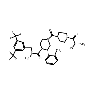 Cc1ccccc1[C@H]1CN(C(=O)C2CCN(C(=O)[C@H](C)O)CC2)CC[C@@H]1C(=O)N(C)Cc1cc(C(F)(F)F)cc(C(F)(F)F)c1